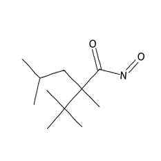 CC(C)CC(C)(C(=O)N=O)C(C)(C)C